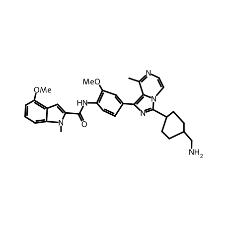 COc1cc(-c2nc(C3CCC(CN)CC3)n3ccnc(C)c23)ccc1NC(=O)c1cc2c(OC)cccc2n1C